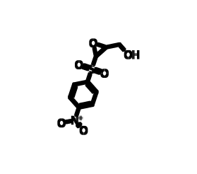 O=[N+]([O-])c1ccc(S(=O)(=O)C2OC2CO)cc1